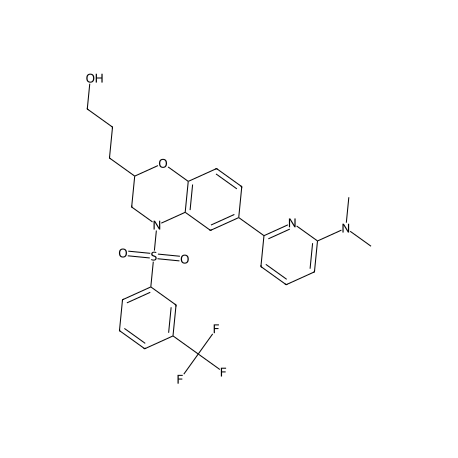 CN(C)c1cccc(-c2ccc3c(c2)N(S(=O)(=O)c2cccc(C(F)(F)F)c2)CC(CCCO)O3)n1